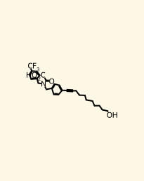 O=C(O)C(=O)N(Cc1ccc(C#CCCCCCCCCCO)cc1)Cc1ccc(C(F)(F)F)cc1